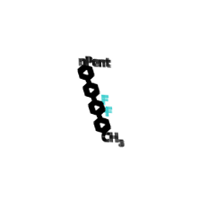 CCCCCc1ccc(-c2ccc(-c3ccc(-c4ccc(C)cc4)c(F)c3F)cc2)cc1